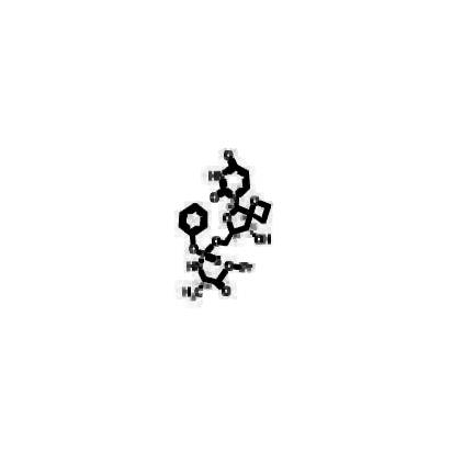 CC(C)OC(=O)[C@H](C)NP(=S)(OC[C@H]1O[C@@H](n2ccc(=O)[nH]c2=O)[C@@]2(CCO2)[C@@H]1O)Oc1ccccc1